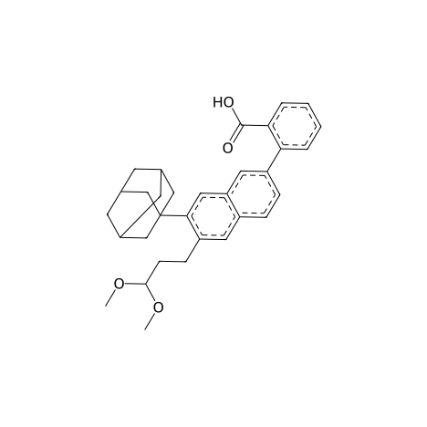 COC(CCc1cc2ccc(-c3ccccc3C(=O)O)cc2cc1C12CC3CC(CC(C3)C1)C2)OC